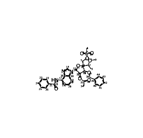 COC(C)[C@@]1(COS(C)(=O)=O)O[C@@H](n2cnc3c(NC(=O)c4ccccc4)ncnc32)[C@H](OC(C)=O)[C@@H]1OCc1ccccc1